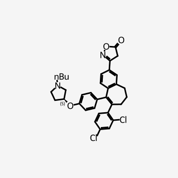 CCCCN1CC[C@H](Oc2ccc(C3=C(c4ccc(Cl)cc4Cl)CCCc4cc(C5=NOC(=O)C5)ccc43)cc2)C1